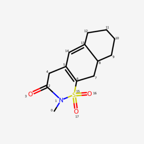 CN1C(=O)CC2=C(CC3CCCCC3=C2)S1(=O)=O